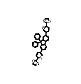 c1ccc(C2(c3ccccc3)c3cc(-c4ccc(-c5ncco5)nc4)ccc3-c3ccc(-c4ccc(-c5ncco5)nc4)cc32)cc1